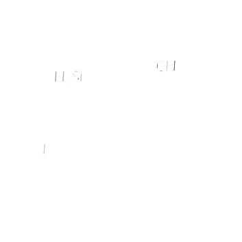 Cc1cccc(I)c1[SiH3]